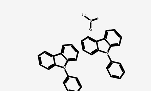 [O-]B([O-])F.c1ccc(-[s+]2c3ccccc3c3ccccc32)cc1.c1ccc(-[s+]2c3ccccc3c3ccccc32)cc1